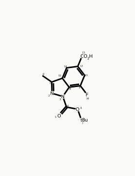 Cc1nn(C(=O)OC(C)(C)C)c2c(F)cc(C(=O)O)cc12